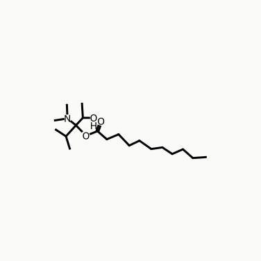 CCCCCCCCCCC(=O)OC(C(C)C)(C(C)O)N(C)C